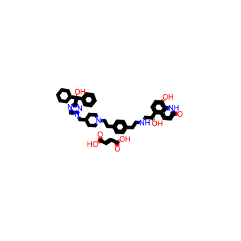 O=C(O)C=CC(=O)O.O=c1ccc2c([C@@H](O)CNCCc3ccc(CCN4CCC(Cn5cnc([C@](O)(c6ccccc6)C6CCCCC6)n5)CC4)cc3)ccc(O)c2[nH]1